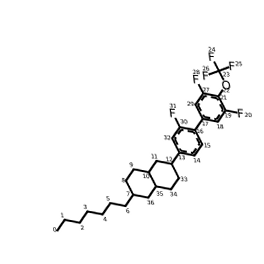 CCCCCCCC1CCC2CC(c3ccc(-c4cc(F)c(OC(F)(F)F)c(F)c4)c(F)c3)CCC2C1